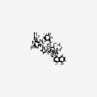 C[C@H](NP(=O)(OC[C@@H]1CC[C@H](n2cnc3c(N)nc(F)nc32)O1)Oc1cccc2ccccc12)C(=O)OCc1ccccc1